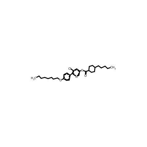 CCCCCCCCOc1ccc(-c2ncc(OC(=O)C3CCC(CCCCC)CC3)cc2Cl)cc1